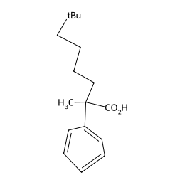 CC(C)(C)CCCCC(C)(C(=O)O)c1ccccc1